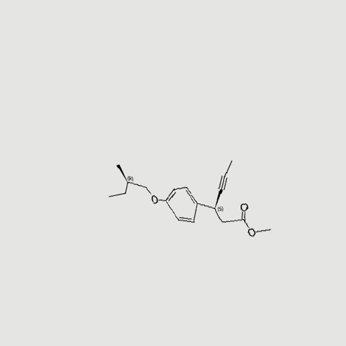 CC#C[C@@H](CC(=O)OC)c1ccc(OC[C@H](C)CC)cc1